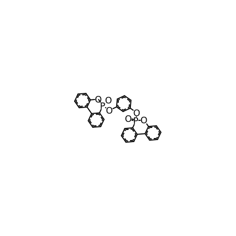 O=P1(Oc2cccc(OP3(=O)Oc4ccccc4-c4ccccc43)c2)Oc2ccccc2-c2ccccc21